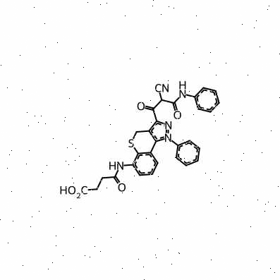 N#CC(C(=O)Nc1ccccc1)C(=O)c1nn(-c2ccccc2)c2c1CSc1c(NC(=O)CCC(=O)O)cccc1-2